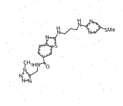 CSc1cnc(NCCCNc2nc3ccc(C(=O)NCc4nnnn4C)cc3s2)nc1